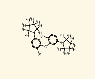 [2H]C1([2H])N(c2ccc(Br)c(Oc3cc(N4C([2H])([2H])C([2H])([2H])C([2H])([2H])C4([2H])[2H])ccc3Br)c2)C([2H])([2H])C([2H])([2H])C1([2H])[2H]